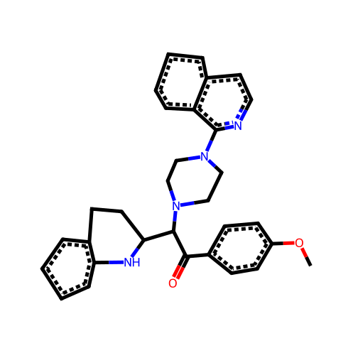 COc1ccc(C(=O)C(C2CCc3ccccc3N2)N2CCN(c3nccc4ccccc34)CC2)cc1